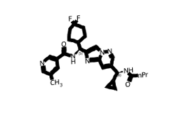 CCCC(=O)N[C@@H](c1cnn2cc([C@@H](NC(=O)c3cncc(C)c3)C3CCC(F)(F)CC3)nc2c1)C1CC1